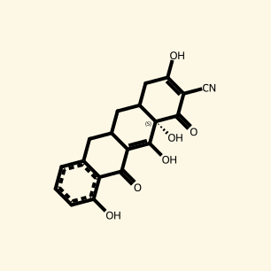 N#CC1=C(O)CC2CC3Cc4cccc(O)c4C(=O)C3=C(O)[C@]2(O)C1=O